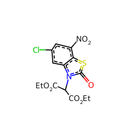 CCOC(=O)C(C(=O)OCC)n1c(=O)sc2c([N+](=O)[O-])cc(Cl)cc21